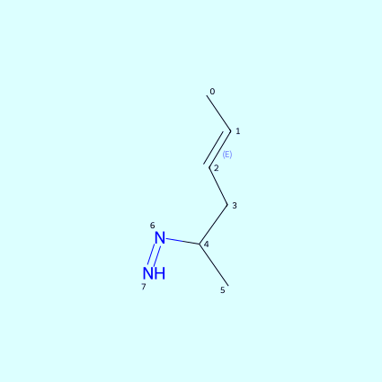 C/C=C/CC(C)N=N